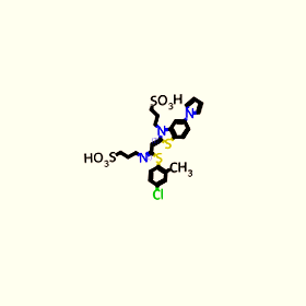 Cc1cc(Cl)ccc1SC(/C=C1\Sc2ccc(-n3cccc3)cc2N1CCCS(=O)(=O)O)=N/CCCS(=O)(=O)O